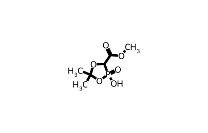 COC(=O)C1OC(C)(C)OP1(=O)O